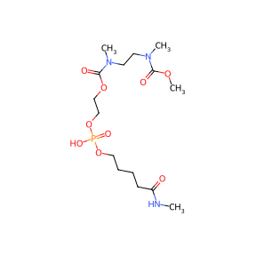 CNC(=O)CCCCOP(=O)(O)OCCOC(=O)N(C)CCN(C)C(=O)OC